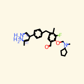 C/C(N)=C/C(=C\N)c1ccc(Cc2cc(C=O)c(OCN(C)C3CCCC3)c(F)c2C)cc1